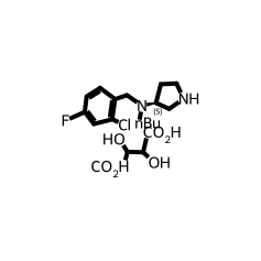 CCCCN(Cc1ccc(F)cc1Cl)[C@H]1CCNC1.O=C(O)C(O)C(O)C(=O)O